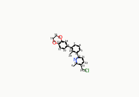 Cc1nc(-c2cccc(-c3ccc4c(c3)OCCO4)c2C)ccc1CCl